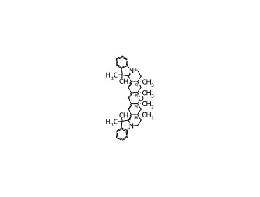 CC1(C)C2=C3C=C4C=C5C=C6C7=[N+](CC[C@@]6(C)C[C@@]5(C)O[C@@]4(C)C[C@@]3(C)CCN2c2ccccc21)c1ccccc1C7(C)C